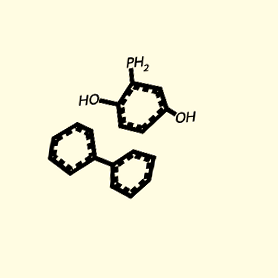 Oc1ccc(O)c(P)c1.c1ccc(-c2ccccc2)cc1